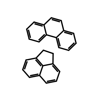 c1cc2c3c(cccc3c1)CC2.c1ccc2c(c1)ccc1ccccc12